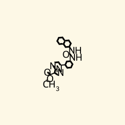 CCOC(=O)c1cnn2c(-c3cccc(NC(=O)Nc4ccc5ccccc5c4)c3)ccnc12